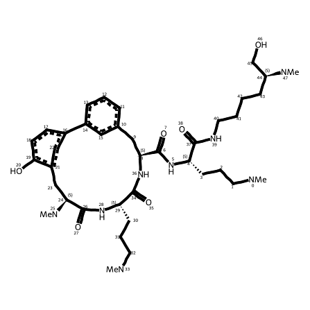 CNCCC[C@H](NC(=O)[C@@H]1Cc2cccc(c2)-c2ccc(O)c(c2)C[C@H](NC)C(=O)N[C@@H](CCCNC)C(=O)N1)C(=O)NCCCC[C@@H](CO)NC